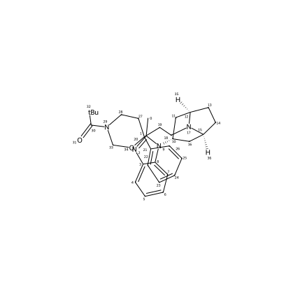 Cc1nc2ccccc2n1[C@@H]1C[C@H]2CC[C@@H](C1)N2CCC1(c2ccccc2)CCN(C(=O)C(C)(C)C)CO1